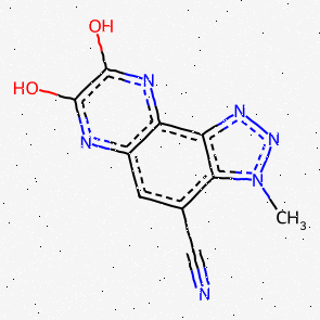 Cn1nnc2c3nc(O)c(O)nc3cc(C#N)c21